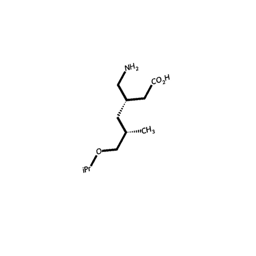 CC(C)OC[C@@H](C)C[C@H](CN)CC(=O)O